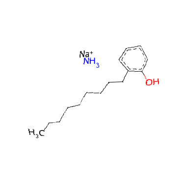 CCCCCCCCCc1ccccc1O.N.[Na+]